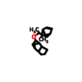 CC(OC1CC2CC1C1CCCC21)C1(C)CC2C=CC1C2